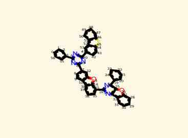 c1ccc(-c2nc(-c3ccc4c(c3)oc3c(-c5nc(-c6ccccc6)c6oc7ccccc7c6n5)cccc34)nc(-c3ccc4sc5ccccc5c4c3)n2)cc1